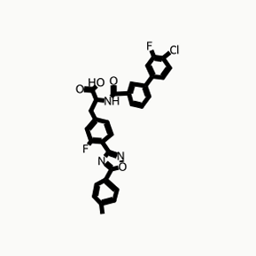 Cc1ccc(-c2nc(-c3ccc(CC(NC(=O)c4cccc(-c5ccc(Cl)c(F)c5)c4)C(=O)O)cc3F)no2)cc1